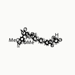 COc1cc(-c2cn(C)c(=O)c3cc(C(=O)NC4CCN(C5CCN(c6ccc7c(c6)CN(C6CCC(=O)NC6=O)C7=O)CC5)CC4(F)F)sc23)cc(OC)c1CN(C)C